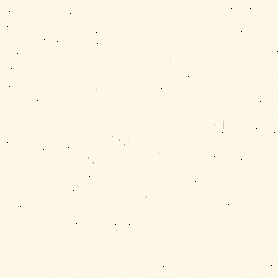 CC(C)OC(=O)NN=S(=O)=O.Cc1ccccc1